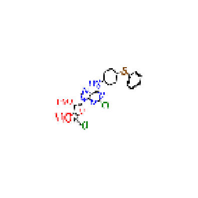 OC1C(O)[C@@H](CCl)O[C@H]1n1cnc2c(NC3CCC(Sc4ccccc4)CC3)nc(Cl)nc21